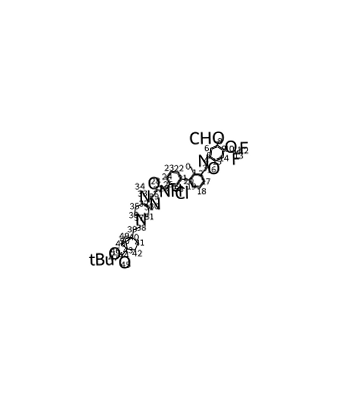 Cc1c(-c2nc3cc(C=O)c(OC(F)F)cc3o2)cccc1-c1cccc(NC(=O)c2nc3c(n2C)CCN(CCC24CCC(C(=O)OC(C)(C)C)(CC2)C4)C3)c1Cl